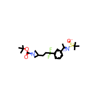 C/C(=N\[S+]([O-])C(C)(C)C)c1cccc(C(F)(F)CCC2CN(C(=O)OC(C)(C)C)C2)c1